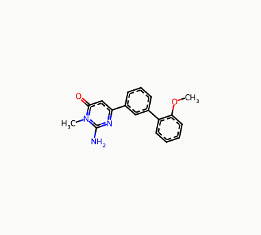 COc1ccccc1-c1cccc(-c2cc(=O)n(C)c(N)n2)c1